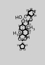 C=C1CCC2[C@]3(C)CO[C@@H](C4CCCC4)O[C@@H]3CC[C@@]2(C)[C@@H]1CCOc1cnccc1C(=O)O